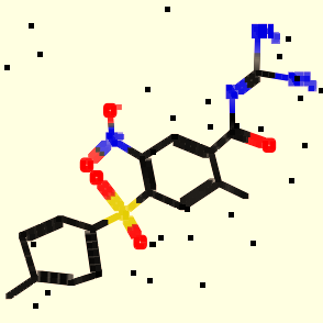 Cc1ccc(S(=O)(=O)c2cc(C)c(C(=O)N=C(N)N)cc2[N+](=O)[O-])cc1